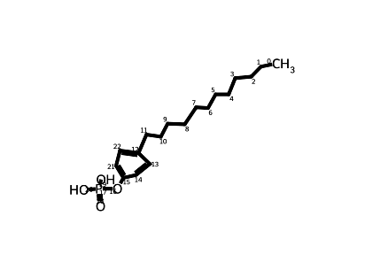 CCCCCCCCCCCCc1ccc(OP(=O)(O)O)cc1